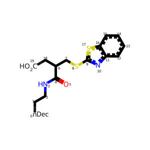 CCCCCCCCCCCCNC(=O)C(CSc1nc2ccccc2s1)CC(=O)O